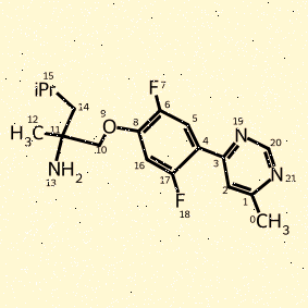 Cc1cc(-c2cc(F)c(OCC(C)(N)CC(C)C)cc2F)ncn1